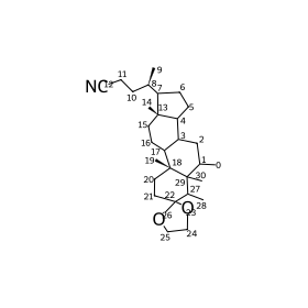 CC1CC2C3CCC([C@H](C)CCC#N)[C@@]3(C)CCC2[C@@]2(C)CCC3(OCCO3)C(C)C12C